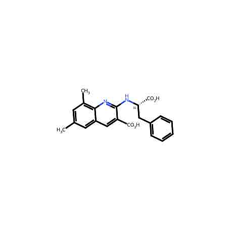 Cc1cc(C)c2nc(N[C@@H](Cc3ccccc3)C(=O)O)c(C(=O)O)cc2c1